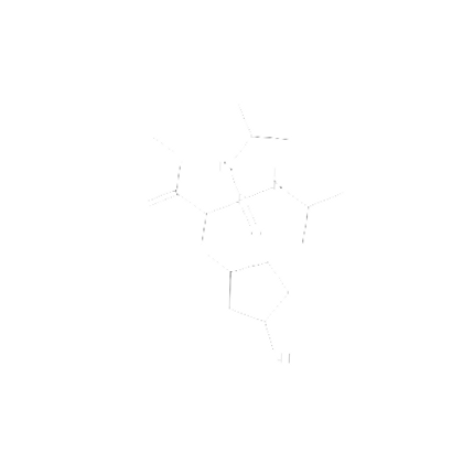 BC1CCC(OC(C(=O)OC)P(=O)(NC(C)C)NC(C)C)C1